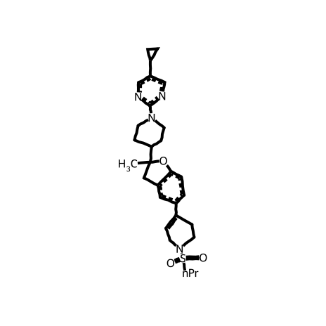 CCCS(=O)(=O)N1CC=C(c2ccc3c(c2)CC(C)(C2CCN(c4ncc(C5CC5)cn4)CC2)O3)CC1